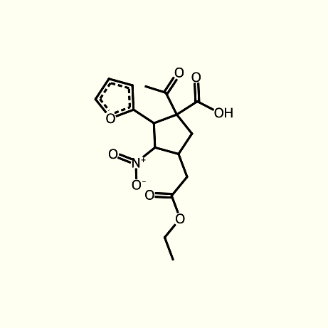 CCOC(=O)CC1CC(C(C)=O)(C(=O)O)C(c2ccco2)C1[N+](=O)[O-]